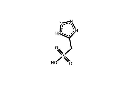 O=S(=O)(O)[CH]c1nnn[nH]1